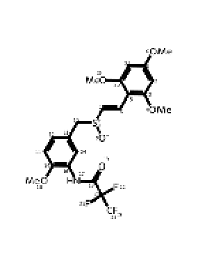 COc1cc(OC)c(/C=C/[S+]([O-])Cc2ccc(OC)c(NC(=O)C(F)(F)C(F)(F)F)c2)c(OC)c1